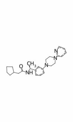 C[C@H](NC(=O)CC1CCCC1)c1cccc(N2CCN(c3ccccn3)CC2)c1